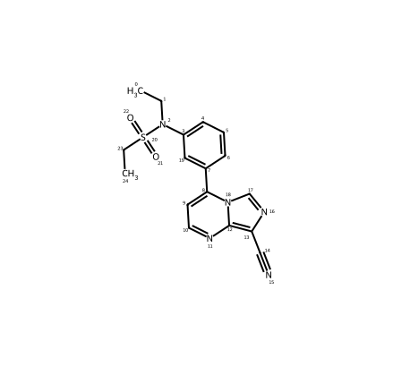 CCN(c1cccc(-c2ccnc3c(C#N)ncn23)c1)S(=O)(=O)CC